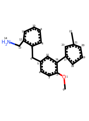 COc1ccc(Cc2ccccc2CN)cc1-c1cccc(C)c1